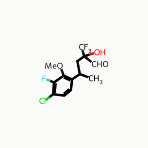 COc1c(C(C)CC(O)(C=O)C(F)(F)F)ccc(Cl)c1F